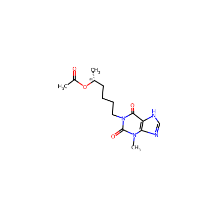 CC(=O)O[C@H](C)CCCCn1c(=O)c2[nH]cnc2n(C)c1=O